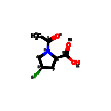 CC(=O)N1C[C@@H](F)C[C@@H]1C(=O)O